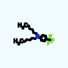 CCCCCCN(CCCCCC)c1ccc(C(F)(F)F)cc1